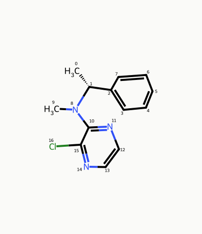 C[C@H](c1ccccc1)N(C)c1nccnc1Cl